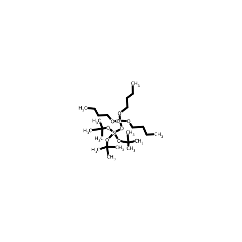 CCCC[O][Zr]([O]CCCC)([O]CCCC)[O][Si](OC(C)(C)C)(OC(C)(C)C)OC(C)(C)C